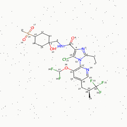 CCc1nc(C(=O)NCC2(O)CCC(S(C)(=O)=O)CC2)c(Cl)n1-c1ncc(C[C@H](C)C(F)(F)F)cc1OC(F)F